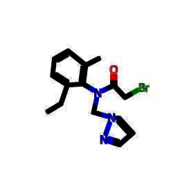 CCc1cccc(C)c1N(Cn1cccn1)C(=O)CBr